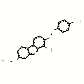 COc1ccc2c(c1)[nH]c1c(C)c(OSc3ccc(C)cc3)ccc12